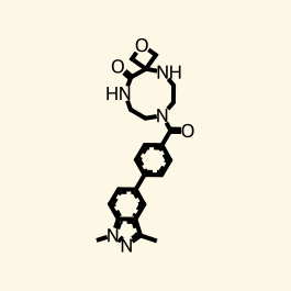 Cc1nn(C)c2ccc(-c3ccc(C(=O)N4CCNC(=O)C5(COC5)NCC4)cc3)cc12